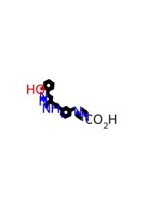 Nc1nnc(-c2ccccc2O)cc1C#Cc1cccc(CN2CCN(C(=O)O)CC2)c1